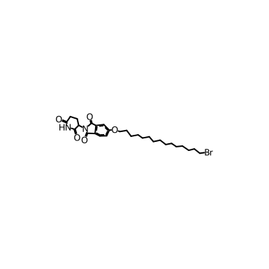 O=C1CCC(N2C(=O)c3ccc(OCCCCCCCCCCCCCCCBr)cc3C2=O)C(=O)N1